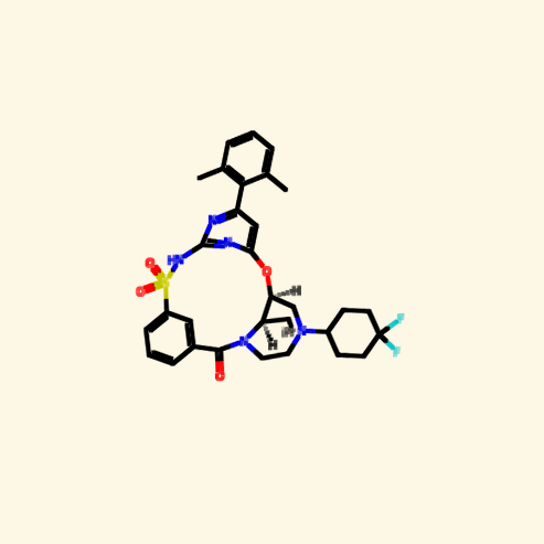 Cc1cccc(C)c1-c1cc2nc(n1)NS(=O)(=O)c1cccc(c1)C(=O)N1CCN(C3CCC(F)(F)CC3)C[C@H](O2)[C@H]1CC(C)C